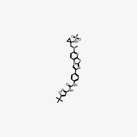 CN(CC1(NS(C)(=O)=O)CC1)c1ccc2c(n1)sc1nc(-c3ccc(NC(=O)Nc4cc(C(C)(C)C)on4)cc3)cn12